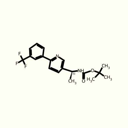 C[C@H](NC(=O)OC(C)(C)C)c1ccc(-c2cccc(C(F)(F)F)c2)nc1